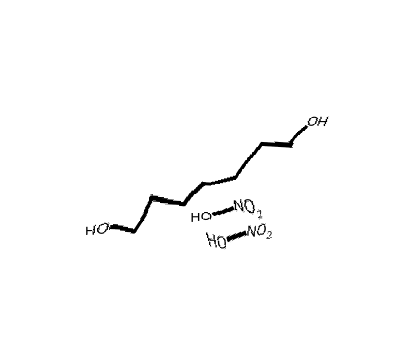 O=[N+]([O-])O.O=[N+]([O-])O.OCCCCCCCO